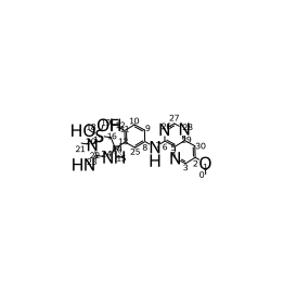 COc1cnc2c(Nc3ccc(F)c([C@]4(C)CS(O)(O)N(C)C(=N)N4)c3)ncnc2c1